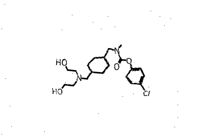 CN(CC1CCC(CN(CCO)CCO)CC1)C(=O)Oc1ccc(Cl)cc1